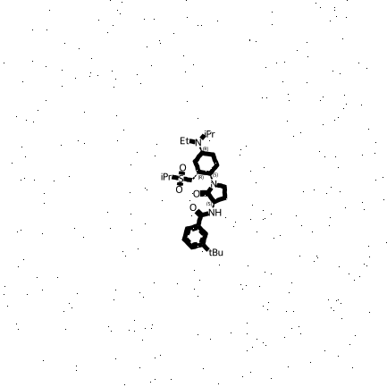 CCN(C(C)C)[C@@H]1CC[C@H](N2CC[C@H](NC(=O)c3cccc(C(C)(C)C)c3)C2=O)[C@H](CS(=O)(=O)C(C)C)C1